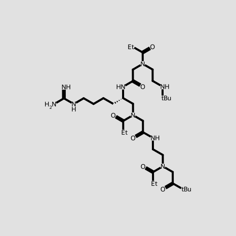 CCC(=O)N(CCNC(C)(C)C)CC(=O)N[C@@H](CCCCNC(=N)N)CN(CC(=O)NCCN(CC(=O)C(C)(C)C)C(=O)CC)C(=O)CC